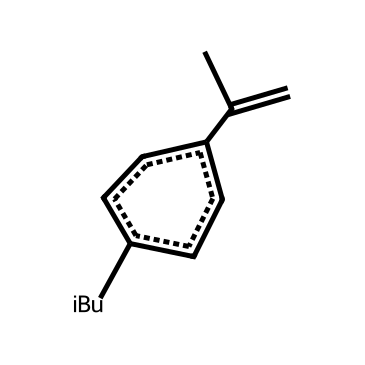 C=C(C)c1ccc(C(C)CC)cc1